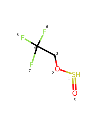 O=[SH]OCC(F)(F)F